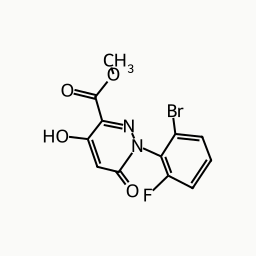 COC(=O)c1nn(-c2c(F)cccc2Br)c(=O)cc1O